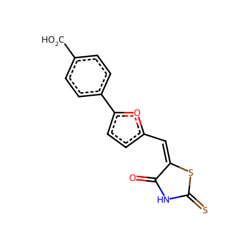 O=C1NC(=S)SC1=Cc1ccc(-c2ccc(C(=O)O)cc2)o1